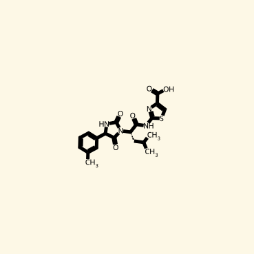 Cc1cccc(C2NC(=O)N([C@@H](CC(C)C)C(=O)Nc3nc(C(=O)O)cs3)C2=O)c1